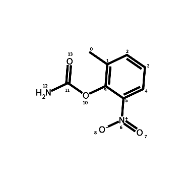 Cc1cccc([N+](=O)[O-])c1OC(N)=O